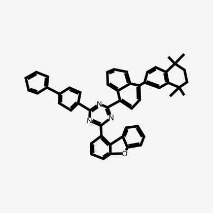 CC1(C)CCC(C)(C)c2cc(-c3ccc(-c4nc(-c5ccc(-c6ccccc6)cc5)nc(-c5cccc6oc7ccccc7c56)n4)c4ccccc34)ccc21